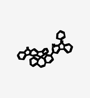 C1=Cc2ccc(-c3cnc4c(c3)c3ccccc3n4-c3ccccc3)cc2C2(c3ccccc31)c1ccccc1-c1cc3sc4ccccc4c3cc12